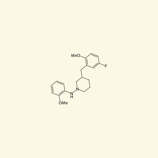 COc1[c]cccc1NN1CCCC(Cc2cc(F)ccc2OC)C1